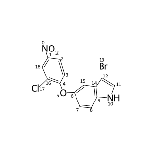 O=[N+]([O-])c1ccc(Oc2ccc3[nH]cc(Br)c3c2)c(Cl)c1